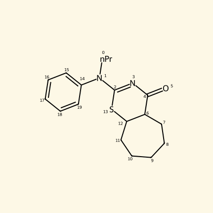 CCCN(C1=NC(=O)C2CCCCCC2S1)c1ccccc1